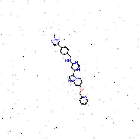 Cn1ncc(-c2ccc(CNc3cc(-c4cnc5cc(OCc6ccccn6)ccn45)ncn3)cc2)n1